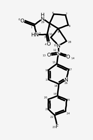 O=C1NC(=O)C2(CCCC23CN(S(=O)(=O)c2ccc(-c4ccc(F)cc4)nc2)C3)N1